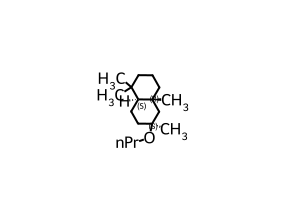 CCCO[C@@]1(C)CC[C@H]2C(C)(C)CCC[C@]2(C)C1